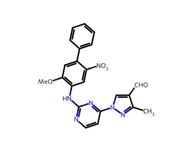 COc1cc(-c2ccccc2)c([N+](=O)[O-])cc1Nc1nccc(-n2cc(C=O)c(C)n2)n1